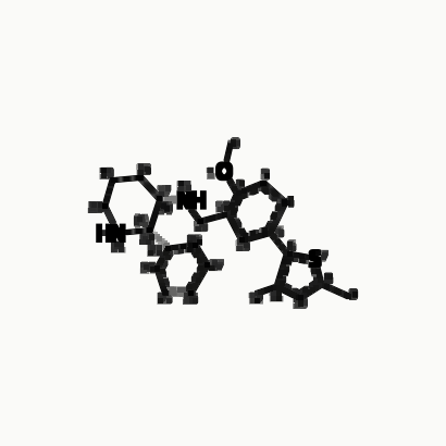 COc1ccc(-c2sc(C)cc2C)cc1CN[C@H]1CCCN[C@H]1c1ccccc1